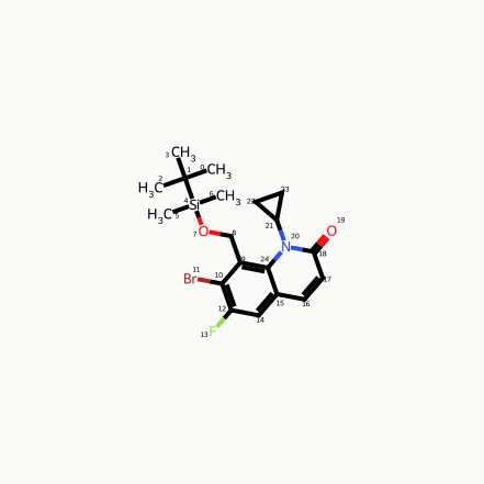 CC(C)(C)[Si](C)(C)OCc1c(Br)c(F)cc2ccc(=O)n(C3CC3)c12